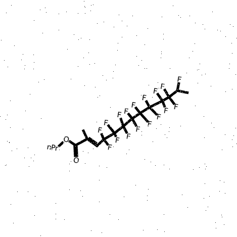 CCCOC(=O)/C(C)=C/C(F)(F)C(F)(F)C(F)(F)C(F)(F)C(F)(F)C(F)(F)C(F)(F)C(F)(F)C(C)F